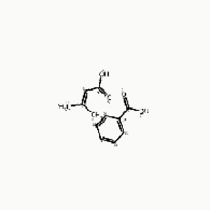 CC(C)=CC(=O)O.O=C(O)c1ccccc1